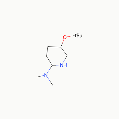 CN(C)C1CCC(OC(C)(C)C)CN1